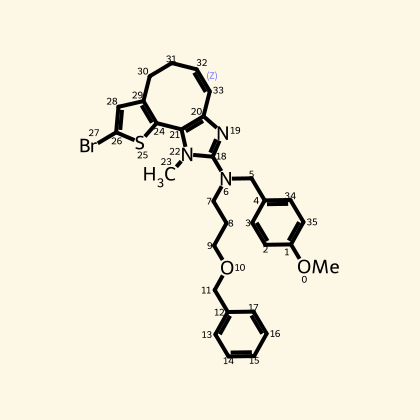 COc1ccc(CN(CCCOCc2ccccc2)c2nc3c(n2C)-c2sc(Br)cc2CC/C=C\3)cc1